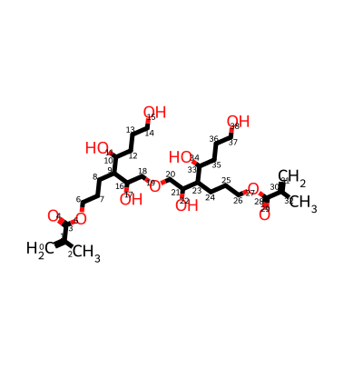 C=C(C)C(=O)OCCCC(C(O)CCCO)C(O)COCC(O)C(CCCOC(=O)C(=C)C)C(O)CCCO